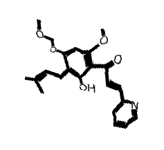 COCOc1cc(OC)c(C(=O)C=Cc2ccccn2)c(O)c1CC=C(C)C